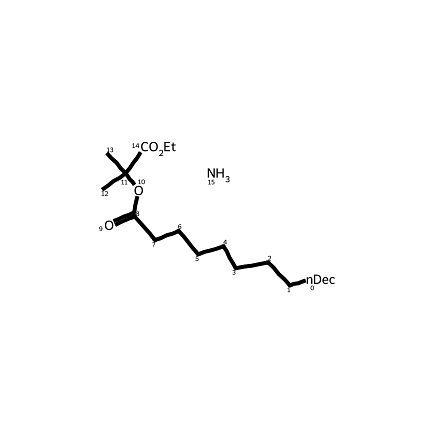 CCCCCCCCCCCCCCCCCC(=O)OC(C)(C)C(=O)OCC.N